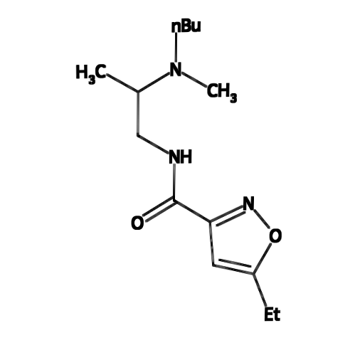 CCCCN(C)C(C)CNC(=O)c1cc(CC)on1